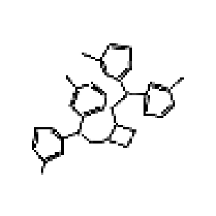 Cc1cccc(P(CC2CCC2CP(c2cccc(C)c2)c2cccc(C)c2)c2cccc(C)c2)c1